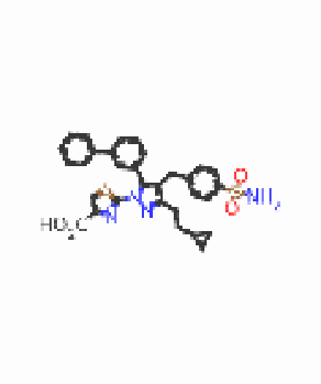 NS(=O)(=O)c1ccc(Cc2c(CCC3CC3)nn(-c3nc(C(=O)O)cs3)c2-c2cccc(-c3ccccc3)c2)cc1